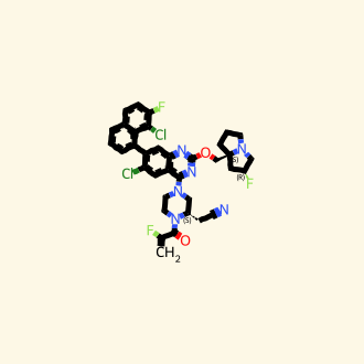 C=C(F)C(=O)N1CCN(c2nc(OC[C@@]34CCCN3C[C@H](F)C4)nc3cc(-c4cccc5ccc(F)c(Cl)c45)c(Cl)cc23)C[C@@H]1CC#N